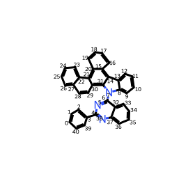 c1ccc(-c2nc(-n3c4ccccc4c4c5ccccc5c5c6ccccc6ccc5c43)c3ccccc3n2)cc1